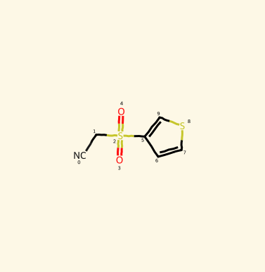 N#CCS(=O)(=O)c1ccsc1